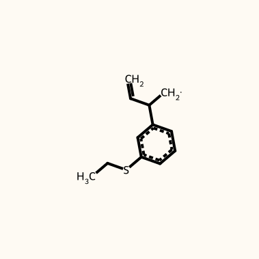 [CH2]C(C=C)c1cccc(SCC)c1